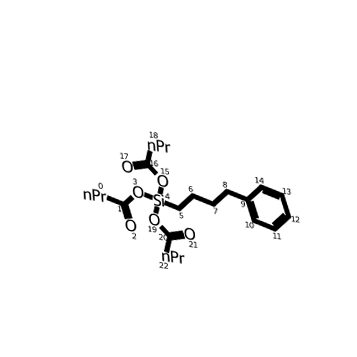 CCCC(=O)O[Si](CCCCc1ccccc1)(OC(=O)CCC)OC(=O)CCC